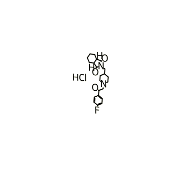 Cl.O=C(CN1CCC(CN2C(=O)[C@H]3CCCC[C@H]3C2=O)CC1)c1ccc(F)cc1